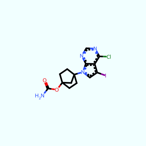 NC(=O)OC12CCC(n3cc(I)c4c(Cl)ncnc43)(CC1)C2